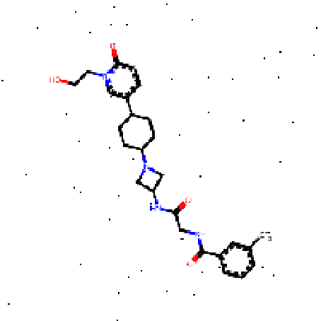 O=C(CNC(=O)c1cccc(C(F)(F)F)c1)NC1CN(C2CCC(c3ccc(=O)n(CCO)c3)CC2)C1